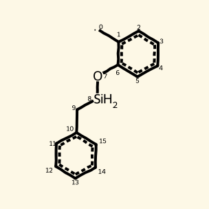 [CH2]c1ccccc1O[SiH2]Cc1ccccc1